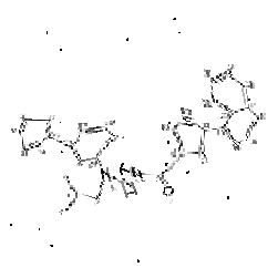 CC(C)CN(NNC(=O)c1csc(-c2cccc3ccccc23)n1)c1cccc(-c2ccccc2)c1